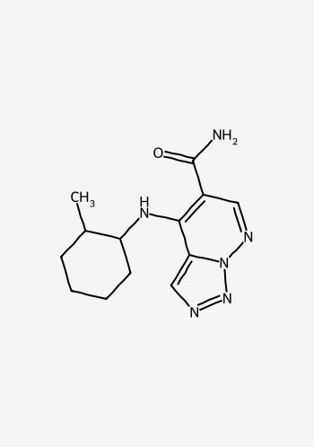 CC1CCCCC1Nc1c(C(N)=O)cnn2nncc12